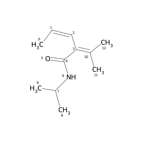 C/C=C\C(C(=O)NC(C)C)=C(C)C